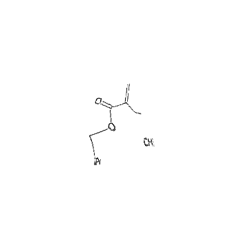 C=C(C)C(=O)OCC(C)C.[CH]